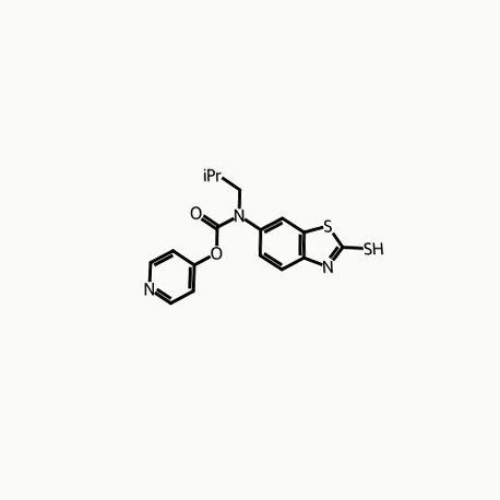 CC(C)CN(C(=O)Oc1ccncc1)c1ccc2nc(S)sc2c1